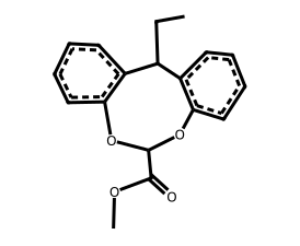 CCC1c2ccccc2OC(C(=O)OC)Oc2ccccc21